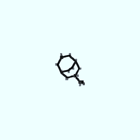 CN1CC2CCC(COC2)C1